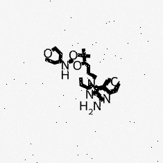 CCc1nc2c(N)nc3ccccc3c2n1CCCC(OC(=O)NC1CCOCC1)C(C)(C)C